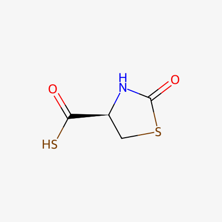 O=C1N[C@H](C(=O)S)CS1